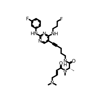 C[C@@H](C(=O)NCCCC#Cc1cnc(Nc2cccc(F)c2)nc1NCCCF)N(C)C(=O)/C=C/CN(C)C